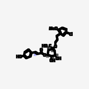 COc1ccc(Cl)cc1CCCO[C@@]1(C(=O)O)C[C@H](O)[C@@H](O)[C@H](OC(=O)/C=C/c2ccc(O)cc2)C1